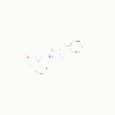 NC(Cc1ccc(O)cc1)C(=O)NCC12NC(=O)CC1CCCO2